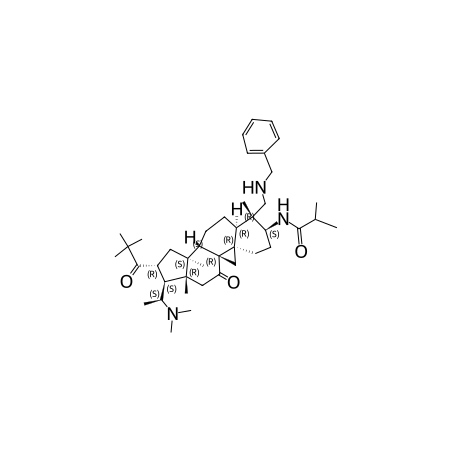 CC(C)C(=O)N[C@H]1CC[C@]23C[C@]24C(=O)C[C@]2(C)[C@@H]([C@H](C)N(C)C)[C@H](C(=O)C(C)(C)C)C[C@@]2(C)[C@@H]4CC[C@H]3[C@]1(C)CNCc1ccccc1